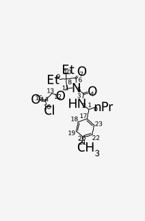 CCCC(NC(=O)N1C(=O)C(CC)(CC)C1OCC(=O)Cl)c1ccc(C)cc1